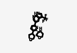 FC(F)(F)c1c[nH]c2ncc(-c3ccc(C4CCOCC4)c([C@H]4COCCN4)n3)cc12